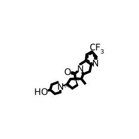 CC1C2Cc3ncc(C(F)(F)F)cc3CN2C(=O)[C@]12CC[C@@H](N1CCC(O)CC1)C2